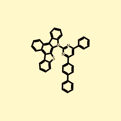 c1ccc(-c2ccc(-c3cc(-c4ccccc4)nc(-n4c5ccccc5c5c6ccccc6c6c7ccccc7sc6c54)n3)cc2)cc1